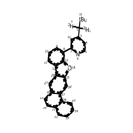 [2H]C([2H])(c1ccnc(-c2cccc3c2oc2cc4c(ccc5ccccc54)cc23)c1)C(C)(C)C